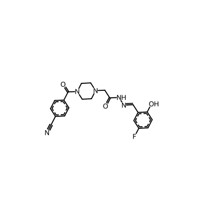 N#Cc1ccc(C(=O)N2CCN(CC(=O)N/N=C/c3cc(F)ccc3O)CC2)cc1